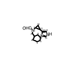 O=CN(CC1CCCCC1)C1CC1c1c[nH]cn1